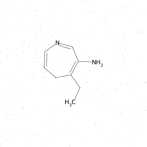 CCC1=C(N)C=NC=CC1